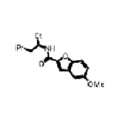 CCC(CC(C)C)NC(=O)c1cc2cc(OC)ccc2o1